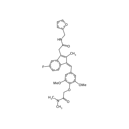 COc1cc(/C=C2/C(C)=C(CC(=O)NCc3ccco3)c3cc(F)ccc32)cc(OC)c1OCC(=O)N(C)C